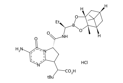 CC[C@H](NC(=O)[C@@H]1CC(C(C(=O)O)C(C)(C)C)c2ncc(N)c(=O)n21)B1O[C@@H]2C[C@@H]3C[C@@H](C3(C)C)[C@]2(C)O1.Cl